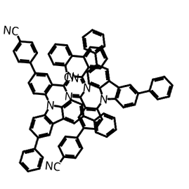 N#Cc1ccc(-c2ccc(-n3c4ccc(-c5ccccc5)cc4c4cc(-c5ccccc5)ccc43)c(-c3nc(-c4ccccc4-c4ccccc4C#N)nc(-c4cc(-c5ccc(C#N)cc5)ccc4-n4c5ccc(-c6ccccc6)cc5c5cc(-c6ccccc6)ccc54)n3)c2)cc1